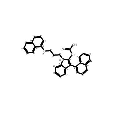 O=C(O)Oc1c(-c2cccc3ccccc23)c2ccccc2n1CCCOc1cccc2ccccc12